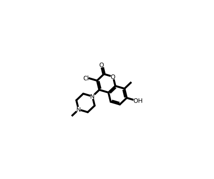 Cc1c(O)ccc2c(N3CCN(C)CC3)c(Cl)c(=O)oc12